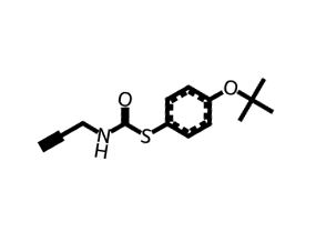 C#CCNC(=O)Sc1ccc(OC(C)(C)C)cc1